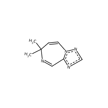 CC1(C)C=Cn2ncnc2C=N1